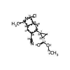 CCOC(=O)[C@H]1C[C@@H]1c1nc2c(Cl)nn(C)c2cc1C#N